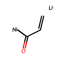 C=C[C](=O)[Ni].[Li]